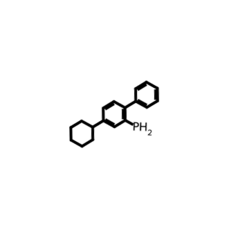 Pc1cc(C2CCCCC2)ccc1-c1ccccc1